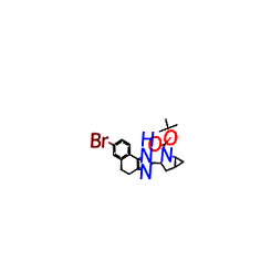 CC(C)(C)OC(=O)N1C2CC2C[C@H]1c1nc2c([nH]1)-c1ccc(Br)cc1CC2